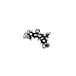 CC[C@@]1(O)C(=O)OCc2c1cc1n(c2=O)Cc2c-1nc1cc3c(cc1c2C(C)(C)C)OCO3